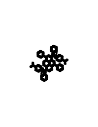 CC(C)c1ccc(N(c2ccccc2)c2ccc3c(-c4ccccc4)cc4c(N(c5ccccc5)c5ccc(C(C)C)cc5)cc(-c5ccccc5)c5ccc2c3c54)cc1